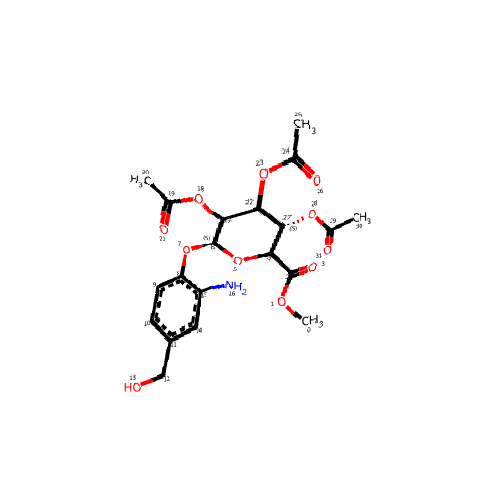 COC(=O)C1O[C@@H](Oc2ccc(CO)cc2N)C(OC(C)=O)C(OC(C)=O)[C@@H]1OC(C)=O